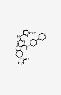 CC(C)n1ccc(Nc2nc(N[C@H]3CC[C@H](N4CCOCC4)CC3)c3c4c(sc3n2)CC[C@@H](C(N)=O)C4)n1